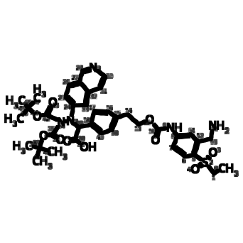 CCS(=O)(=O)c1ccc(NC(=O)OCCc2ccc(C(C(=O)O)N(c3ccc4cnccc4c3)N(C(=O)OC(C)(C)C)C(=O)OC(C)(C)C)cc2)cc1CN